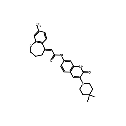 O=C(/C=C1\CCCOc2cc(C(F)(F)F)ccc21)Nc1ccc2cc(N3CCC(F)(F)CC3)c(=O)[nH]c2c1